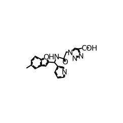 Cc1ccc2oc(C(NC(=O)Cn3cc(CO)nn3)c3cccnc3)cc2c1